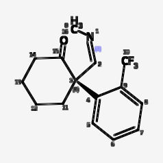 C/N=C\[C@]1(c2ccccc2C(F)(F)F)CCCCC1=O